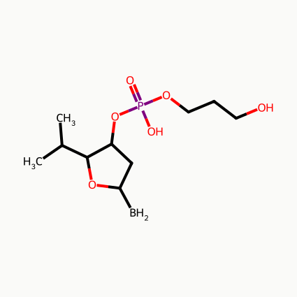 BC1CC(OP(=O)(O)OCCCO)C(C(C)C)O1